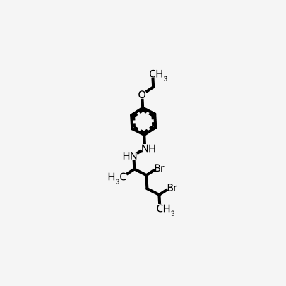 CCOc1ccc(NNC(C)C(Br)CC(C)Br)cc1